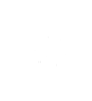 CC(C)c1c(F)c(Cl)c(F)c(O)c1P